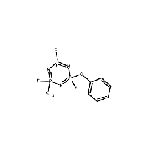 CP1(F)=N[PH](F)=NP(F)(Oc2ccccc2)=N1